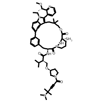 CCn1c(-c2cccnc2[C@H](C)OC)c2c3cc(ccc31)-c1cccc(c1)C[C@H](NC(=O)[C@@H](CO[C@H]1CCN(C(=O)C#CC(C)(C)N(C)C)C1)C(C)C)C(=O)N1CCC[C@@]([SiH3])(N1)C(=O)OCC(C)(C)C2